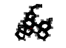 O=C(O)N1CCC[C@@]12CC[C@H](N1CCCc3cc(Cl)cc(-c4ccnc5cc(CO)sc45)c31)C2